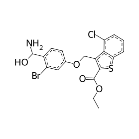 CCOC(=O)c1sc2cccc(Cl)c2c1COc1ccc(C(N)O)c(Br)c1